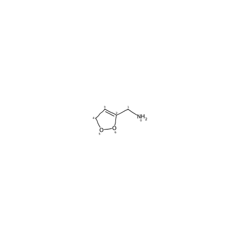 NCC1=CCOO1